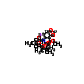 COC(=O)c1c2c(cc(I)c1N(C(=O)OC(C)(C)C)C(=O)OC(C)(C)C)OCO2